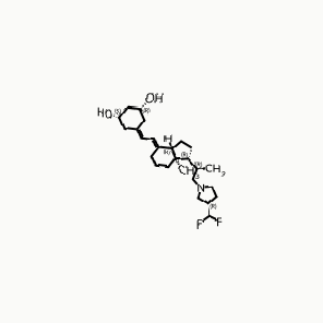 C[C@@H](CN1CC[C@@H](C(F)F)C1)[C@H]1CC[C@H]2C(=CC=C3C[C@@H](O)C[C@@H](O)C3)CCC[C@]12C